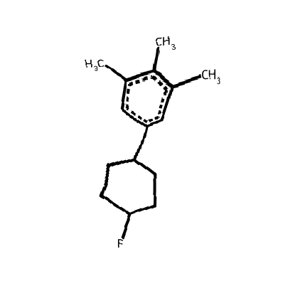 Cc1cc(C2CCC(F)CC2)cc(C)c1C